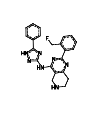 FCc1ccccc1-c1nc2c(c(Nc3n[nH]c(-c4ccccc4)n3)n1)CNCC2